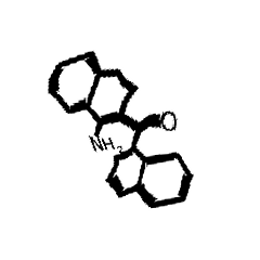 NC1=C(C(=O)c2cccc3ccccc23)CCc2ccccc21